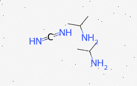 CC(C)N.CC(C)N.N=C=N